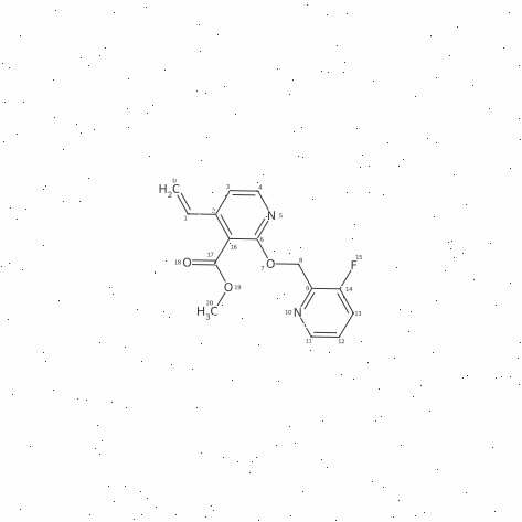 C=Cc1ccnc(OCc2ncccc2F)c1C(=O)OC